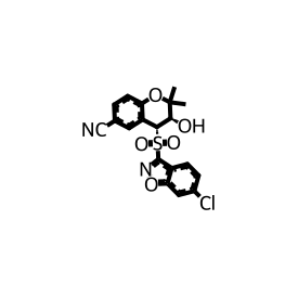 CC1(C)Oc2ccc(C#N)cc2[C@@H](S(=O)(=O)c2noc3cc(Cl)ccc23)[C@@H]1O